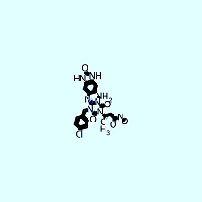 C[C@@H](CC(=O)N=O)n1c(=O)n(N)/c(=N\c2ccc3[nH]c(=O)[nH]c3c2)n(Cc2ccc(Cl)cc2)c1=O